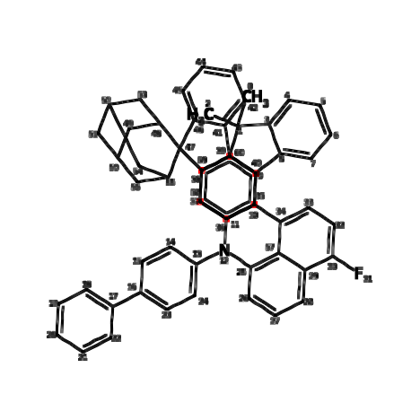 CC1(C)c2ccccc2-c2cc(N(c3ccc(-c4ccccc4)cc3)c3cccc4c(F)ccc(-c5ccc6c(c5)-c5ccccc5C65C6CC7CC(C6)CC5C7)c34)ccc21